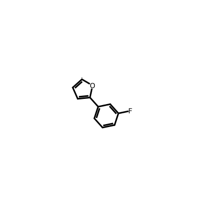 Fc1cccc(-c2cc[c]o2)c1